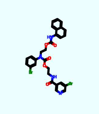 O=C(Nc1cccc2ccccc12)OCCN(C(=O)OCCNC(=O)c1cncc(Br)c1)c1cccc(Br)c1